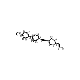 CC=CC1CCC(C#Cc2ccc(-c3ccc(Cl)cc3)nc2)CC1